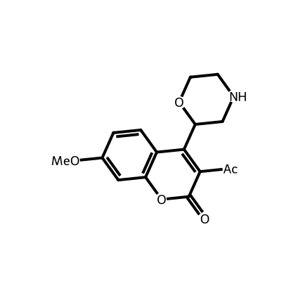 COc1ccc2c(C3CNCCO3)c(C(C)=O)c(=O)oc2c1